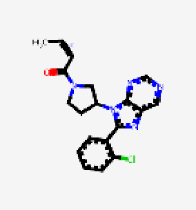 C/C=C\C(=O)N1CCC(n2c(-c3ccccc3Cl)nc3cncnc32)C1